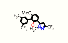 COc1ccc(-c2cc(C(F)(F)F)nn2C)c(O)c1-c1cc(C(F)(F)F)cc(C(F)(F)F)c1